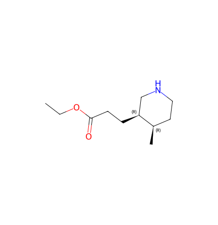 CCOC(=O)CC[C@H]1CNCC[C@H]1C